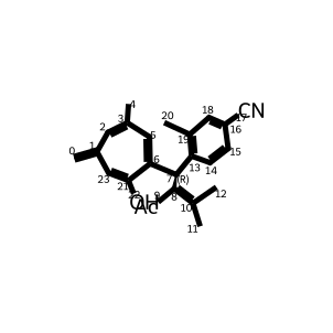 C=C1C=C(C)C=C([C@H](C(C(C)=O)=C(C)C)c2ccc(C#N)cc2C)C(O)=C1